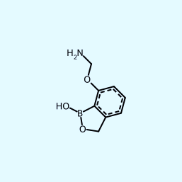 NCOc1cccc2c1B(O)OC2